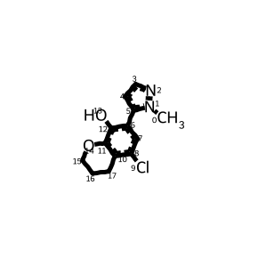 Cn1nccc1-c1cc(Cl)c2c(c1O)OCCC2